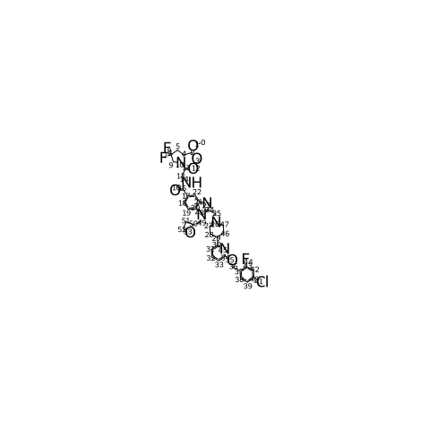 COC(=O)C1CC(F)(F)CN1C(=O)CNC(=O)c1ccc2c(c1)nc(CN1CCC(c3cccc(OCc4ccc(Cl)cc4F)n3)CC1)n2C[C@@H]1CCO1